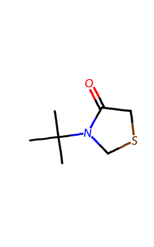 CC(C)(C)N1CSCC1=O